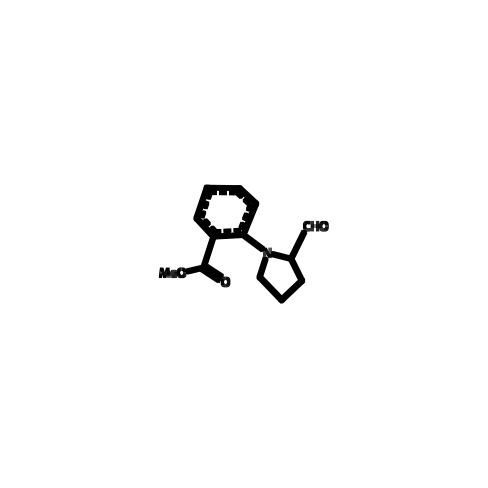 COC(=O)c1ccccc1N1CCCC1C=O